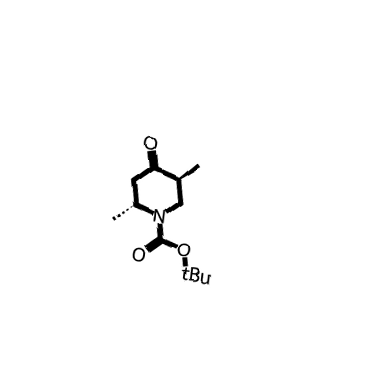 C[C@@H]1CC(=O)[C@@H](C)CN1C(=O)OC(C)(C)C